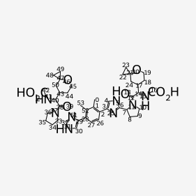 Cc1c(-c2c[nH]c(C3CCCN3C(=O)C(NC(=O)O)C3CCOC4(CC4)C3)n2)ccc(-c2c[nH]c([C@@H]3CCCN3C(=O)C(NC(=O)O)C3CCOC4(CC4)C3)n2)c1C